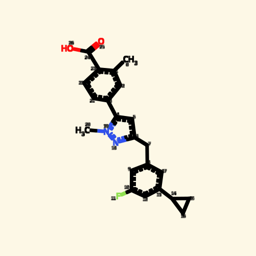 Cc1cc(-c2cc(Cc3cc(F)cc(C4CC4)c3)nn2C)ccc1C(=O)O